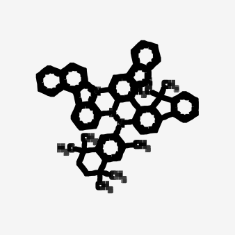 Cc1cc2c(cc1N1B3c4c(cc5c(sc6ccccc65)c4-c4c1ccc1c4C(C)(C)c4ccccc4-1)-n1c4ccc5ccccc5c4c4cccc3c41)C(C)(C)CCC2(C)C